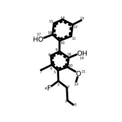 CCCC(F)c1c(C)cc(-c2cc(C)ccc2O)c(O)c1OC